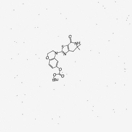 CC1(C)Cc2nc(N3CCOc4ccc(OC(=O)OC(C)(C)C)cc43)sc2C(=O)N1